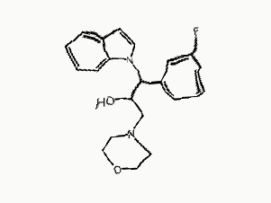 OC(CN1CCOCC1)C(c1cccc(F)c1)n1ccc2ccccc21